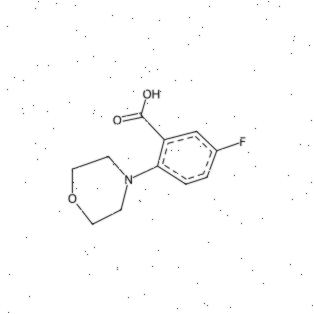 O=C(O)c1cc(F)ccc1N1CCOCC1